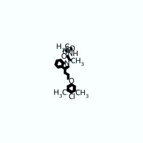 Cc1cc(OCCCc2cn(C(C)C(=O)NS(C)(=O)=O)c3ccccc23)cc(C)c1Cl